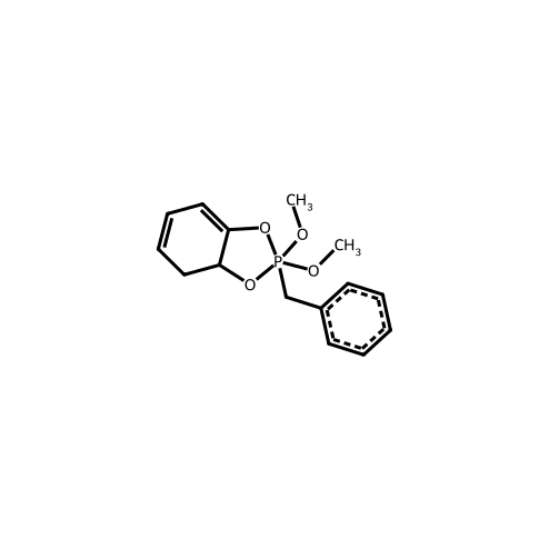 COP1(Cc2ccccc2)(OC)OC2=CC=CCC2O1